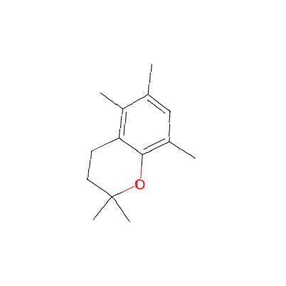 Cc1cc(C)c2c(c1C)CCC(C)(C)O2